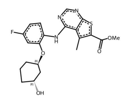 COC(=O)c1sc2ncnc(Nc3ccc(F)cc3O[C@@H]3CCC[C@@H](O)C3)c2c1C